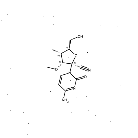 CO[C@@H]1[C@H](C)[C@@H](CO)O[C@@]1(C#N)n1ccc(N)nc1=O